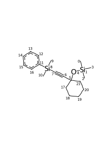 C[Si](C)(C)OC1(C#C[Si](C)(C)c2ccccc2)CCCCC1